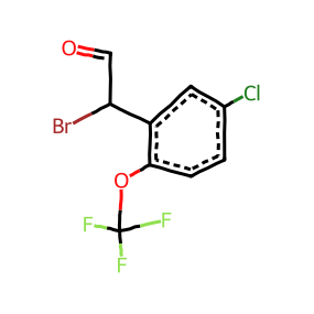 O=CC(Br)c1cc(Cl)ccc1OC(F)(F)F